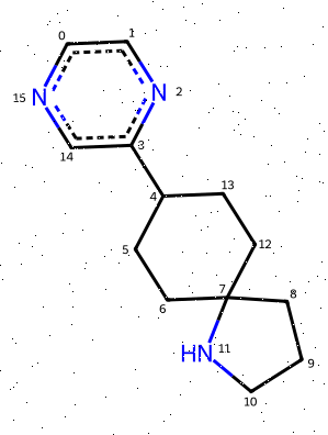 c1cnc(C2CCC3(CCCN3)CC2)cn1